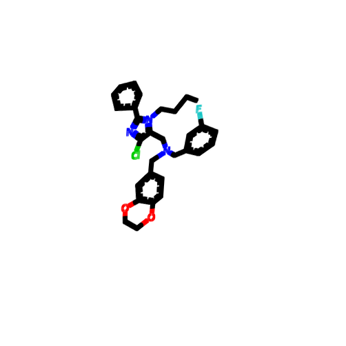 CCCCn1c(-c2ccccc2)nc(Cl)c1CN(Cc1cccc(F)c1)Cc1ccc2c(c1)OCCO2